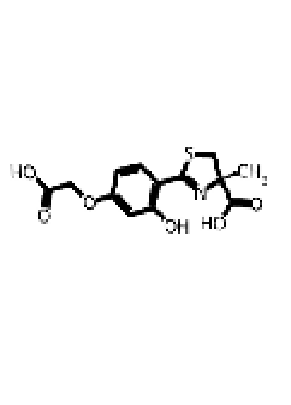 C[C@]1(C(=O)O)CSC(c2ccc(OCC(=O)O)cc2O)=N1